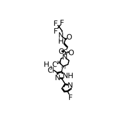 C[C@H]1CN(S(=O)(=O)C=CC(=O)NCC(F)(F)F)CC[C@H]1c1[nH]c(-c2ccc(F)cn2)nc1Cl